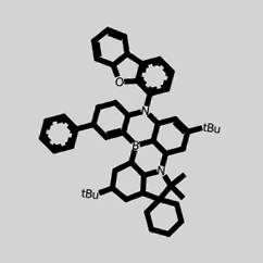 CC(C)(C)C1=CC2C3B(C4=CC(c5ccccc5)CCC4N2c2cccc4c2OC2C=CC=CC42)C2CC(C(C)(C)C)CC4C2N(C3C1)C(C)(C)C41CCCCC1